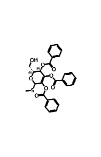 CSC1O[C@H](CO)[C@@H](OC(=O)c2ccccc2)C(OC(=O)c2ccccc2)=C1OC(=O)c1ccccc1